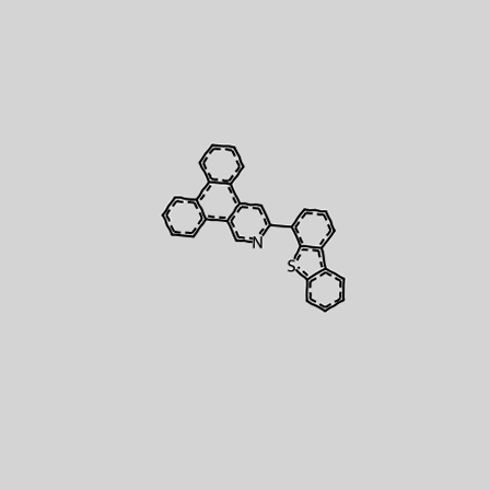 c1ccc2c(c1)sc1c(-c3cc4c5ccccc5c5ccccc5c4cn3)cccc12